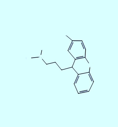 CN(C)CCCC1c2ccccc2Sc2ccc(Cl)cc21